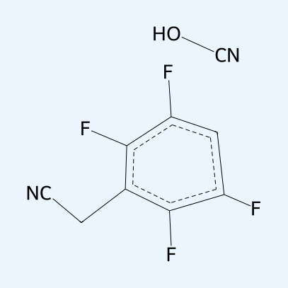 N#CCc1c(F)c(F)cc(F)c1F.N#CO